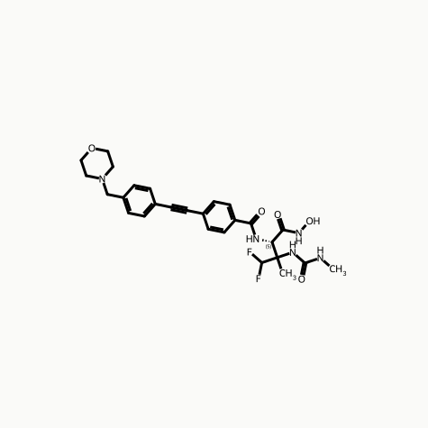 CNC(=O)NC(C)(C(F)F)[C@H](NC(=O)c1ccc(C#Cc2ccc(CN3CCOCC3)cc2)cc1)C(=O)NO